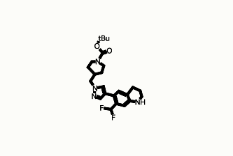 CC(C)(C)OC(=O)N1CCC(Cn2cc(-c3cc4c(cc3C(F)F)NCCC4)cn2)CC1